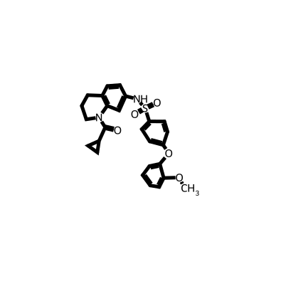 COc1ccccc1Oc1ccc(S(=O)(=O)Nc2ccc3c(c2)N(C(=O)C2CC2)CCC3)cc1